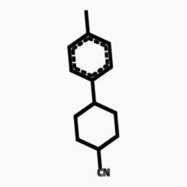 Cc1ccc(C2CCC(C#N)CC2)cc1